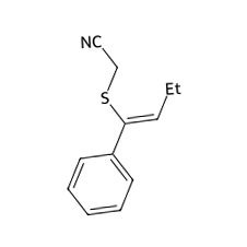 CC/C=C(\SCC#N)c1ccccc1